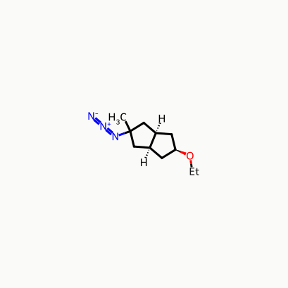 CCO[C@@H]1C[C@@H]2CC(C)(N=[N+]=[N-])C[C@@H]2C1